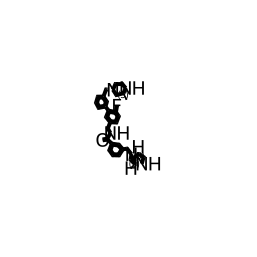 C[C@H]1CN(Cc2cccc(-c3cc(CNC(=O)c4cccc(CN5C[C@@H]6C[C@H]5CN6)c4)ccc3F)c2)CCN1